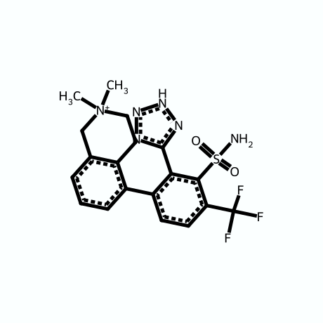 C[N+]1(C)CCc2c(cccc2-c2ccc(C(F)(F)F)c(S(N)(=O)=O)c2-c2nn[nH]n2)C1